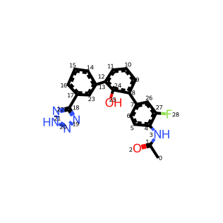 CC(=O)Nc1ccc(-c2cccc(-c3cccc(-c4nn[nH]n4)c3)c2O)cc1F